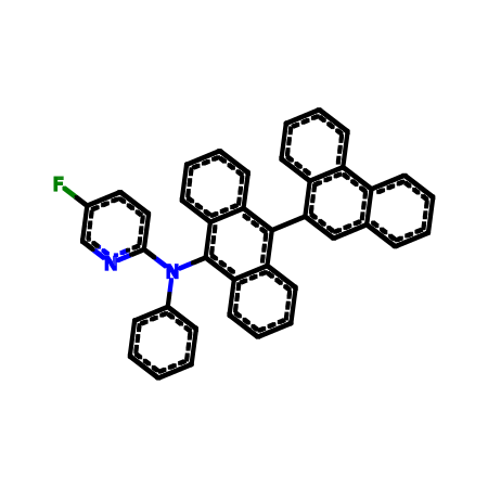 Fc1ccc(N(c2ccccc2)c2c3ccccc3c(-c3cc4ccccc4c4ccccc34)c3ccccc23)nc1